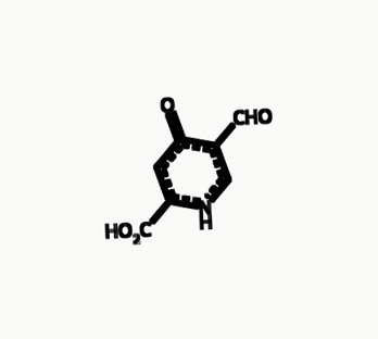 O=Cc1c[nH]c(C(=O)O)cc1=O